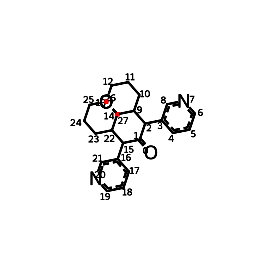 O=C(C(c1cccnc1)C1CCCOC1)C(c1cccnc1)C1CCCOC1